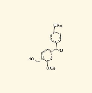 COc1ccc(C(=O)c2ccc(CO)c(OC)c2)cc1